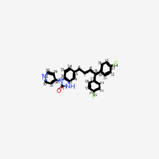 O=c1[nH]c2cc(CCCC(c3ccc(F)cc3)c3ccc(F)cc3)ccc2n1-c1ccncc1